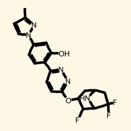 Cc1ccn(-c2ccc(-c3ccc(OC4CC5CC(F)(F)C(N5)C4F)nn3)c(O)c2)n1